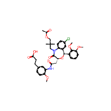 COc1ccc(CCC(=O)O)cc1NC(=O)C[C@H]1O[C@H](c2cccc(OC)c2OC)c2cc(Cl)ccc2N(CC(C)(C)COC(C)=O)C1=O